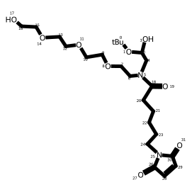 CC(C)(C)OC(O)CN(CCOCCOCCOCCO)C(=O)CCCCCN1C(=O)C=CC1=O